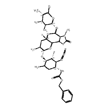 CCC1O[C@H](OC2O[C@H]3CC(C)[C@@H](O[C@@H]4C(C)C[C@@H](NC(=O)OCc5ccccc5)C(N=[N+]=[N-])[C@H]4F)OC3C3OC(=O)N(C)C23)C(C)[C@@H](C)[C@@H]1C